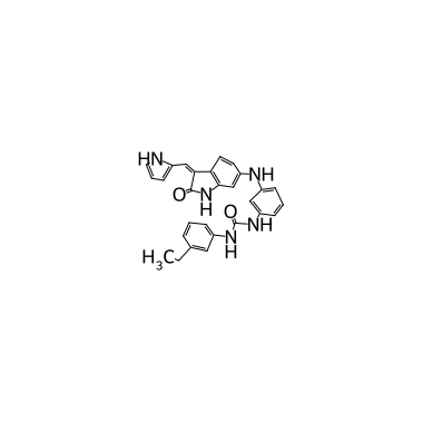 CCc1cccc(NC(=O)Nc2cccc(Nc3ccc4c(c3)NC(=O)C4=Cc3ccc[nH]3)c2)c1